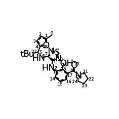 Cc1ccc(C(Nc2nsnc2Nc2cccc(C(=O)N3CCCC3)c2O)C(C)(C)C)o1